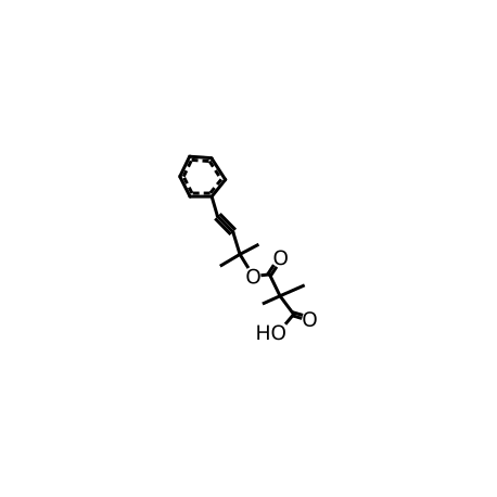 CC(C)(C#Cc1ccccc1)OC(=O)C(C)(C)C(=O)O